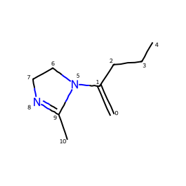 C=C(CCC)N1CCN=C1C